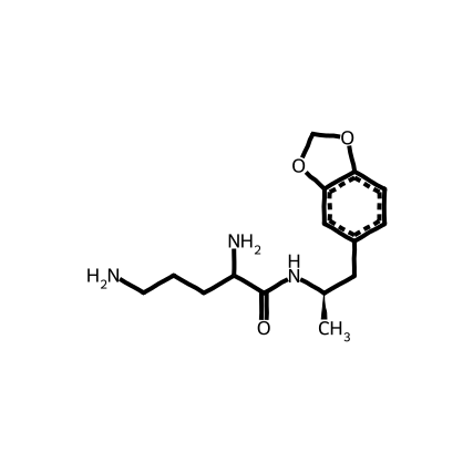 C[C@H](Cc1ccc2c(c1)OCO2)NC(=O)C(N)CCCN